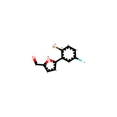 O=Cc1ccc(-c2cc(F)ccc2Br)o1